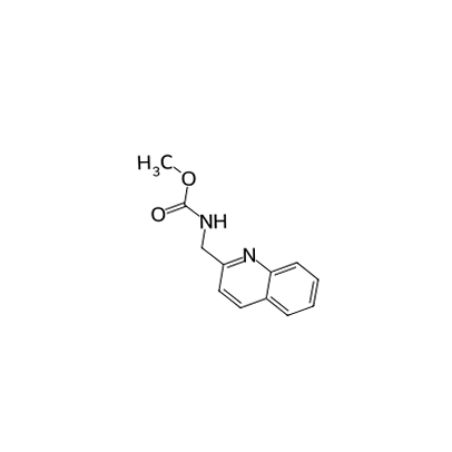 COC(=O)NCc1ccc2ccccc2n1